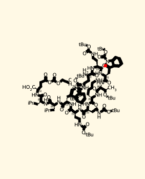 C=CCOC(=O)OC(=O)CC[C@H](NC(=O)[C@@H](CC(C)C)NC(=O)[C@@H](CC(C)C)NC(=O)[C@H](Cc1cn(C(=O)OC(C)(C)C)c2ccccc12)NC(=O)[C@H](CCNC(=O)OC(C)(C)C)NC(=O)[C@H](CCNC(=O)OC(C)(C)C)NC(=O)[C@H](CCCCN)NC(=O)[C@H](NC(=O)[C@H](Cc1cn(C(=O)OC(C)(C)C)c2ccccc12)NC(=O)[C@H](CCNC(=O)OC(C)(C)C)NC(=O)[C@@H](N)CCNC(=O)OC(C)(C)C)[C@H](C)OC(C)(C)C)C(=O)O